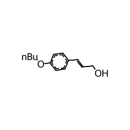 CCCCOc1ccc(C=CCO)cc1